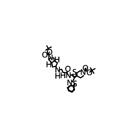 CC(C)(C)OC(=O)N1CCc2c(sc(NC(=O)CCNC3C[C@@H]4CN(C(=O)OC(C)(C)C)C[C@@H]4C3)c2-c2nc3ccccc3s2)C1